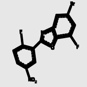 O=[N+]([O-])c1ccc(F)c(-c2nc3cc(Br)cc(F)c3o2)c1